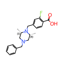 C[C@@H]1CN(Cc2ccccc2)C[C@H](C)N1Cc1ccc(C(=O)O)c(F)c1